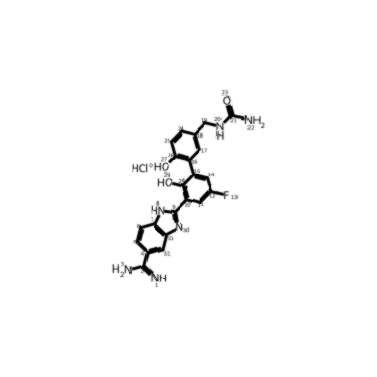 Cl.N=C(N)c1ccc2[nH]c(-c3cc(F)cc(-c4cc(CNC(N)=O)ccc4O)c3O)nc2c1